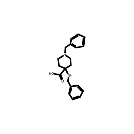 O=C(O)C1(NCc2ccccc2)CCN(Cc2ccccc2)CC1